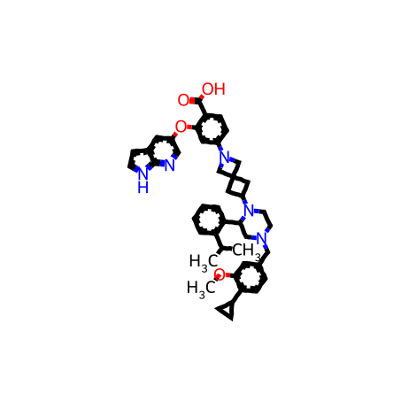 COc1cc(CN2CCN(C3CC4(C3)CN(c3ccc(C(=O)O)c(Oc5cnc6[nH]ccc6c5)c3)C4)C(c3ccccc3C(C)C)C2)ccc1C1CC1